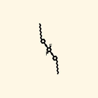 CCCCCCCCCc1ccc(C#Cc2cc(F)c(C#Cc3ccc(CCCCCCCC)cc3)cc2F)cc1